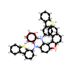 c1ccc(N(c2ccc3oc4ccc5ccccc5c4c3c2N(c2ccccc2)c2ccc3sc4ccccc4c3c2)c2cccc3c2sc2ccccc23)cc1